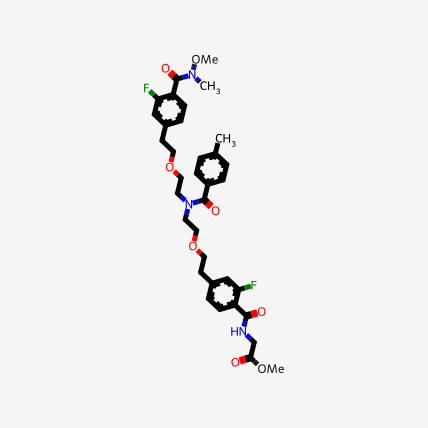 COC(=O)CNC(=O)c1ccc(CCOCCN(CCOCCc2ccc(C(=O)N(C)OC)c(F)c2)C(=O)c2ccc(C)cc2)cc1F